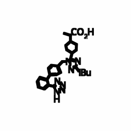 CCC(C)c1nc(C2CCC(C(C)C(=O)O)CC2)n(Cc2ccc(-c3ccccc3-c3nnn[nH]3)cc2)n1